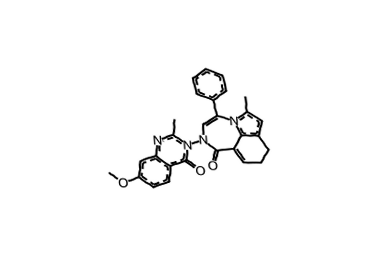 COc1ccc2c(=O)n(N3C=C(c4ccccc4)n4c(C)cc5c4C(=CCC5)C3=O)c(C)nc2c1